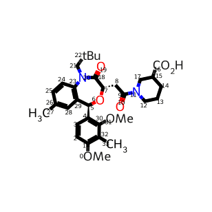 COc1ccc([C@@H]2O[C@@H](CC(=O)N3CCCC(C(=O)O)C3)C(=O)N(CC(C)(C)C)c3ccc(C)cc32)c(OC)c1C